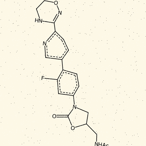 CC(=O)NCC1CN(c2ccc(-c3ccc(C4=NOCCN4)nc3)c(F)c2)C(=O)O1